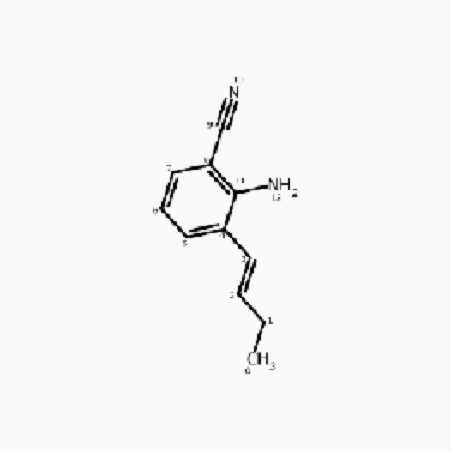 CCC=Cc1cccc(C#N)c1N